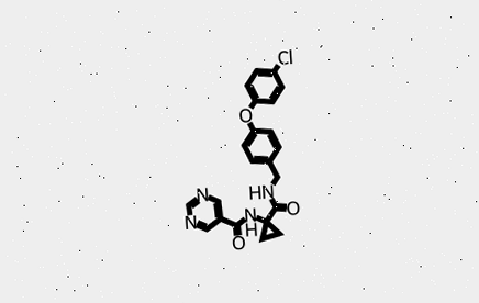 O=C(NC1(C(=O)NCc2ccc(Oc3ccc(Cl)cc3)cc2)CC1)c1cncnc1